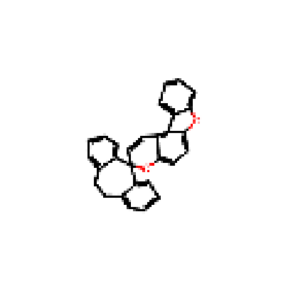 C1=CC2(Oc3ccc4oc5ccccc5c4c31)c1ccccc1CCc1ccccc12